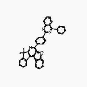 CC1(C)c2ccccc2-c2c1nc(-c1ccc(-c3nc(-c4ccccc4)c4ccccc4n3)cc1)c1oc3ccccc3c21